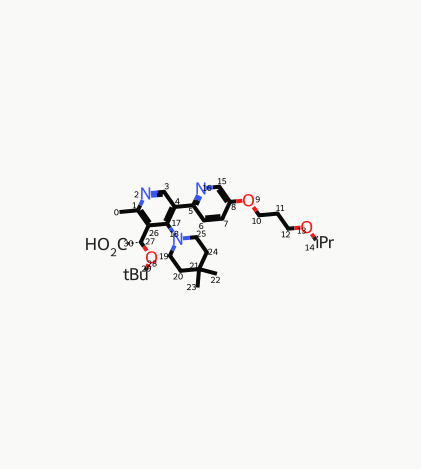 Cc1ncc(-c2ccc(OCCCOC(C)C)cn2)c(N2CCC(C)(C)CC2)c1[C@H](OC(C)(C)C)C(=O)O